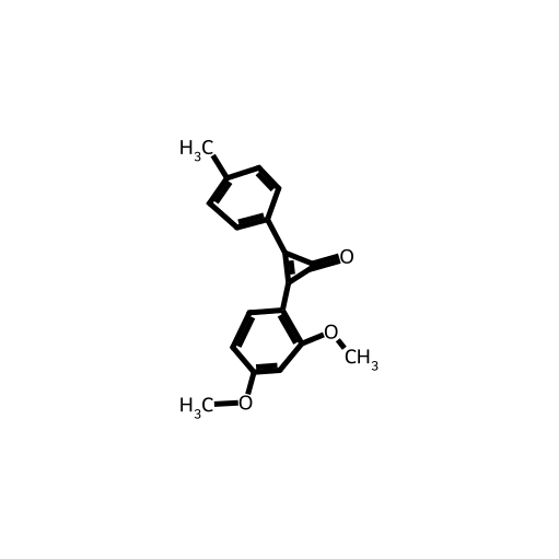 COc1ccc(-c2c(-c3ccc(C)cc3)c2=O)c(OC)c1